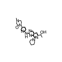 CC(O)c1cc2cnc(Nc3ccc(N4CCN(C)CC4=O)cn3)nc2c(N2CCCCC2)n1